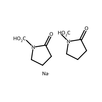 O=C(O)N1CCCC1=O.O=C(O)N1CCCC1=O.[Na]